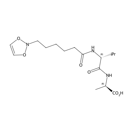 CC(C)[C@@H](NC(=O)CCCCCN1OC=CO1)C(=O)N[C@H](C)C(=O)O